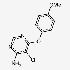 COc1ccc(Oc2ncnc(N)c2Cl)cc1